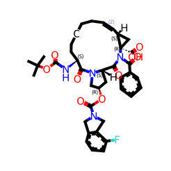 CC(C)(C)OC(=O)N[C@H]1CCCCC/C=C\[C@@H]2C[C@@]2(C(=O)O)N(C(=O)c2ccccc2)C(=O)[C@@H]2C[C@@H](OC(=O)N3Cc4cccc(F)c4C3)CN2C1=O